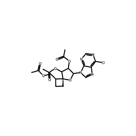 CC(=O)OCC1CC[C@@]12OC(n1cnc3c(Cl)ncnc31)C(OC(C)=O)C2OC(C)=O